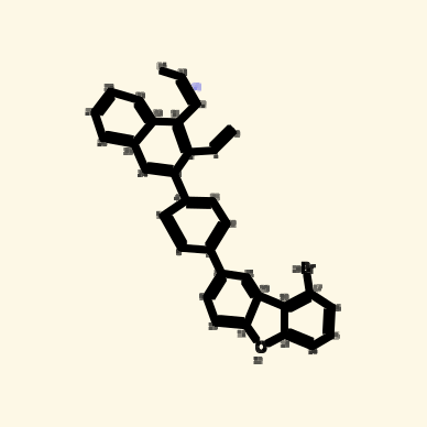 C=Cc1c(-c2ccc(-c3ccc4oc5cccc(Br)c5c4c3)cc2)cc2ccccc2c1/C=C\C